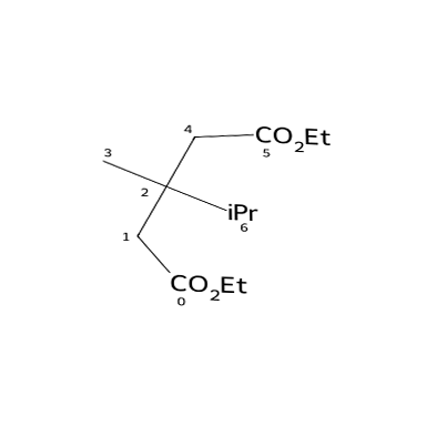 CCOC(=O)CC(C)(CC(=O)OCC)C(C)C